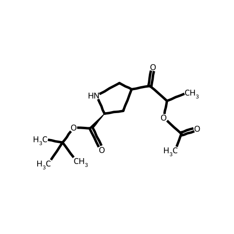 CC(=O)OC(C)C(=O)C1CN[C@H](C(=O)OC(C)(C)C)C1